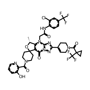 C[C@H]1OC2(CCN(C(=O)c3ncccc3O)CC2)c2c1n(CC(=O)Nc1ccc(C(F)(F)F)cc1Cl)c1nc(C3=CCN(C(=O)C4(C(F)(F)F)CC4)CC3)nn1c2=O